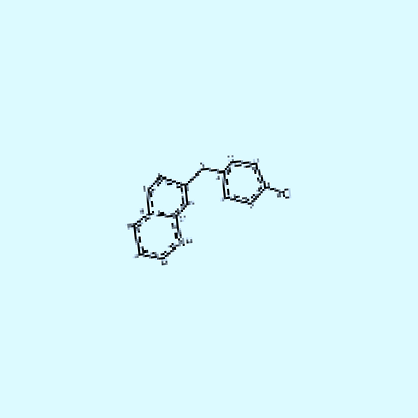 Clc1ccc(Cc2ccc3cccnc3c2)cc1